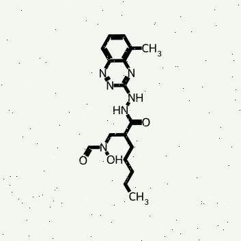 CCCCCC(CN(O)C=O)C(=O)NNc1nnc2cccc(C)c2n1